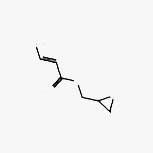 CCCCC=CC(=O)OCC1CO1